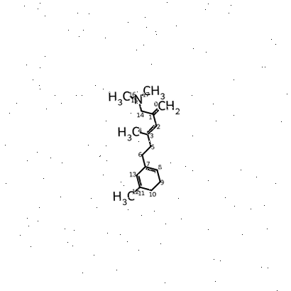 C=C(/C=C(\C)CCC1=CCCC(C)=C1)CN(C)C